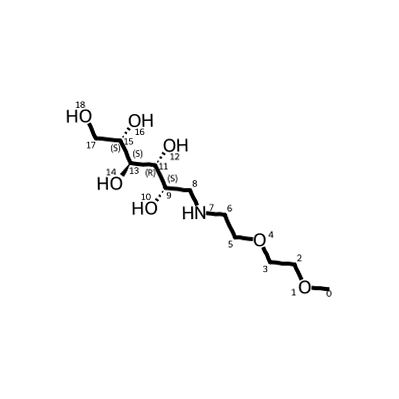 COCCOCCNC[C@H](O)[C@@H](O)[C@@H](O)[C@@H](O)CO